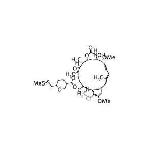 COc1cc2cc(c1Cl)N(C)C(=O)C[C@H](OC(=O)C1CCC(CSSC)OC1)[C@]1(C)O[C@H]1[C@H](C)C1C[C@@](O)(NC(=O)O1)[C@H](OC)/C=C/C=C(\C)C2